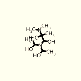 CC(O)N(C(C)O)C(O)C(C)(C)N(C)C